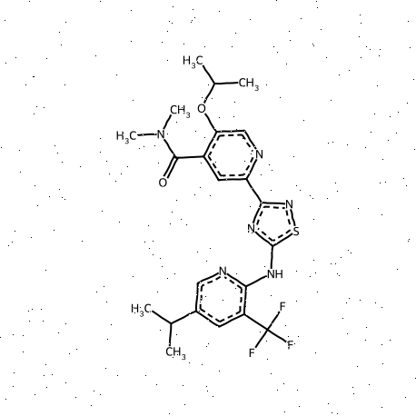 CC(C)Oc1cnc(-c2nsc(Nc3ncc(C(C)C)cc3C(F)(F)F)n2)cc1C(=O)N(C)C